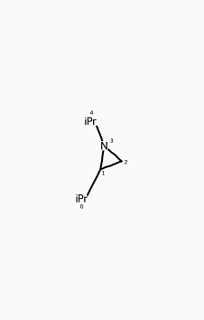 CC(C)C1CN1C(C)C